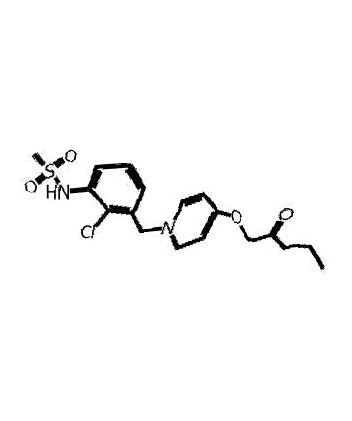 CCCC(=O)COC1=CCN(Cc2cccc(NS(C)(=O)=O)c2Cl)C=C1